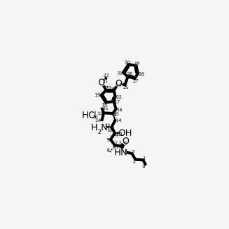 CCCCNC(=O)[C@H](C)C[C@H](O)[C@@H](N)C[C@H](Cc1ccc(OC)c(OCc2ccccc2)c1)C(C)C.Cl